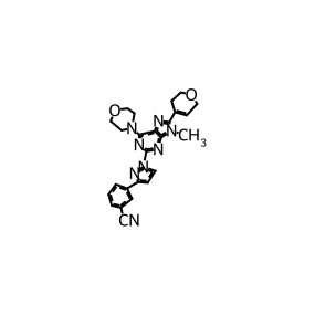 Cn1c(C2=CCOCC2)nc2c(N3CCOCC3)nc(-n3ccc(-c4cccc(C#N)c4)n3)nc21